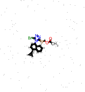 CC(=O)OCSc1nnc(Br)n1-c1ccc(C2CC2)c2ccccc12